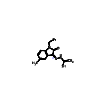 C=C(S)N/N=C1\C(=O)N(CC(C)C)c2ccc(C)cc21